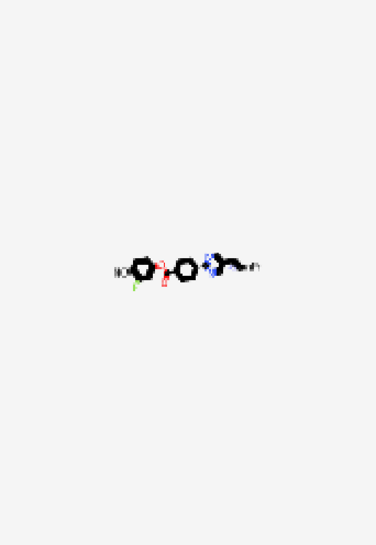 CCC/C=C/c1cnc([C@H]2CC[C@H](C(=O)Oc3ccc(C#N)c(F)c3)CC2)nc1